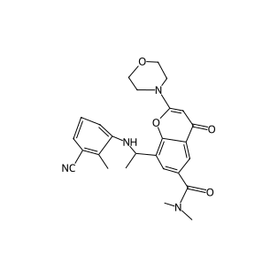 Cc1c(C#N)cccc1NC(C)c1cc(C(=O)N(C)C)cc2c(=O)cc(N3CCOCC3)oc12